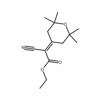 CCOC(=O)C(C#N)=C1CC(C)(C)OC(C)(C)C1